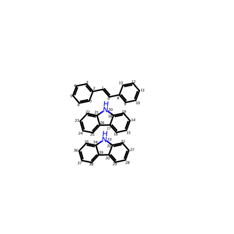 C(=C\c1ccccc1)/c1ccccc1.c1ccc2c(c1)[nH]c1ccccc12.c1ccc2c(c1)[nH]c1ccccc12